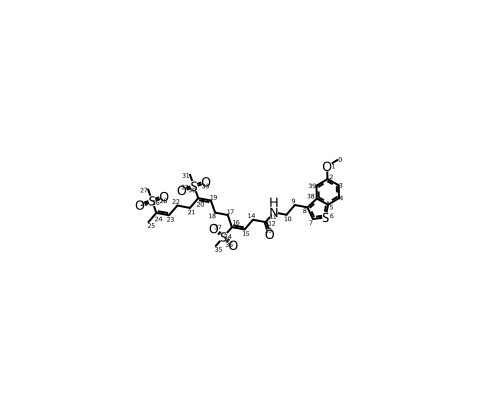 COc1ccc2scc(CCNC(=O)C/C=C(\CC/C=C(\CCC=C(C)S(C)(=O)=O)S(C)(=O)=O)S(C)(=O)=O)c2c1